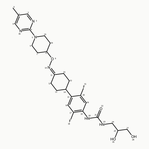 Cc1cnc(N2CCC(ON=C3CCC(c4cc(F)c(NC(=O)NCC(O)CO)cc4F)CC3)CC2)nc1